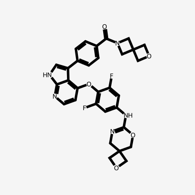 O=C(c1ccc(-c2c[nH]c3nccc(Oc4c(F)cc(NC5=NCC6(COC6)CO5)cc4F)c23)cc1)N1CC2(COC2)C1